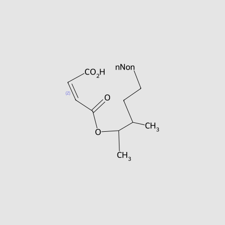 CCCCCCCCCCCC(C)C(C)OC(=O)/C=C\C(=O)O